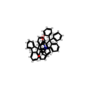 c1ccc(N(c2ccccc2C2(c3ccccc3)c3ccccc3Oc3ccccc32)c2ccccc2C2(c3ccccc3)c3ccccc3-c3ccccc32)cc1